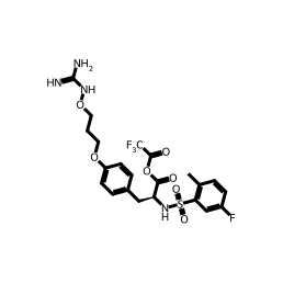 Cc1ccc(F)cc1S(=O)(=O)N[C@@H](Cc1ccc(OCCCONC(=N)N)cc1)C(=O)OC(=O)C(F)(F)F